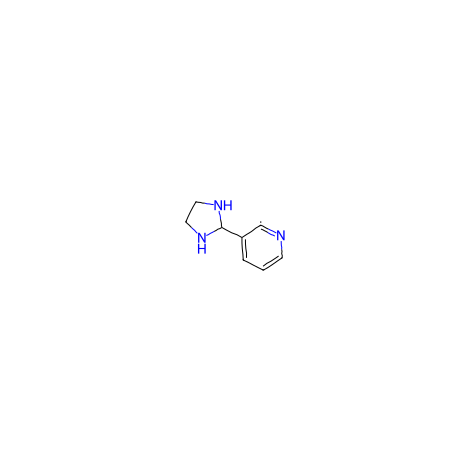 [c]1ncccc1C1NCCN1